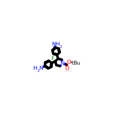 CC(C)(C)OC(=O)N1CCC(F)(c2ccc(N)cc2)C(c2ccc(N)cc2)C1